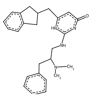 CN(C)C(CNc1nc(=O)cc(CC2Cc3ccccc3C2)[nH]1)Cc1ccccc1